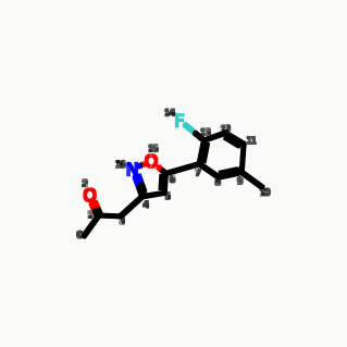 CC(=O)Cc1cc(-c2cc(C)ccc2F)on1